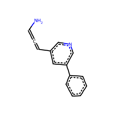 NC=C=Cc1cncc(-c2ccccc2)c1